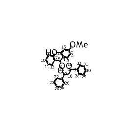 COc1ccc(C(=O)c2ccccc2)c(O)c1.O=C(CC(=O)c1ccccc1)c1ccccc1